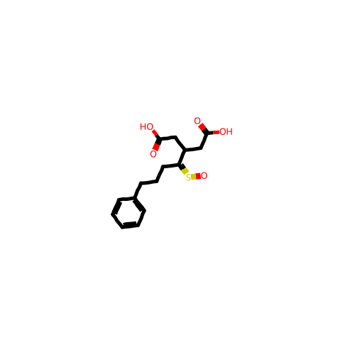 O=S=C(CCCc1ccccc1)C(CC(=O)O)CC(=O)O